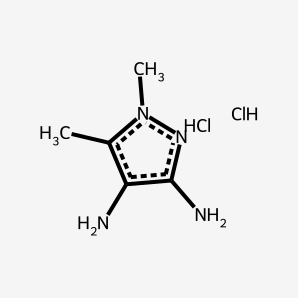 Cc1c(N)c(N)nn1C.Cl.Cl